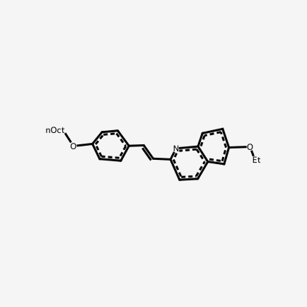 CCCCCCCCOc1ccc(C=Cc2ccc3cc(OCC)ccc3n2)cc1